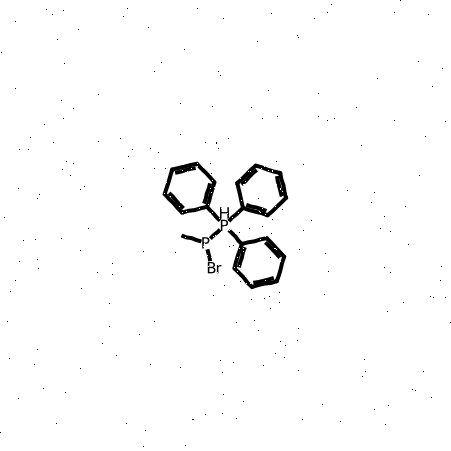 CP(Br)[PH](c1ccccc1)(c1ccccc1)c1ccccc1